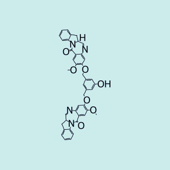 COc1cc2c(cc1OCc1cc(O)cc(COc3cc4c(cc3OC)C(=O)N3c5ccccc5C[C@H]3C=N4)c1)N=CC1Cc3ccccc3N1C2=O